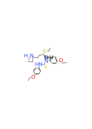 CCOc1ccc(NC(=S)Nc2ccc(OCC)cc2)cc1.CCS[CH]([SnH])CCC(N)CC